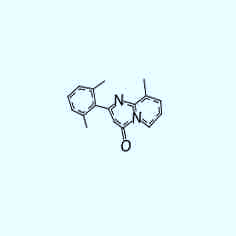 Cc1cccc(C)c1-c1cc(=O)n2cccc(C)c2n1